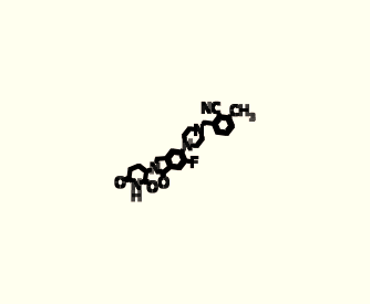 Cc1cccc(CN2CCN(c3cc4c(cc3F)C(=O)N(C3CCC(=O)NC3=O)C4)CC2)c1C#N